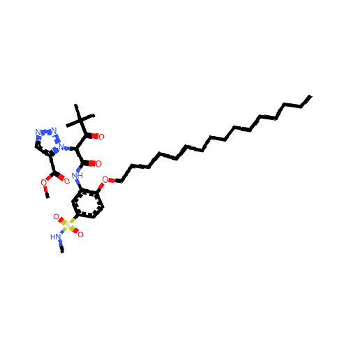 CCCCCCCCCCCCCCCCOc1ccc(S(=O)(=O)NC)cc1NC(=O)C(C(=O)C(C)(C)C)n1nncc1C(=O)OC